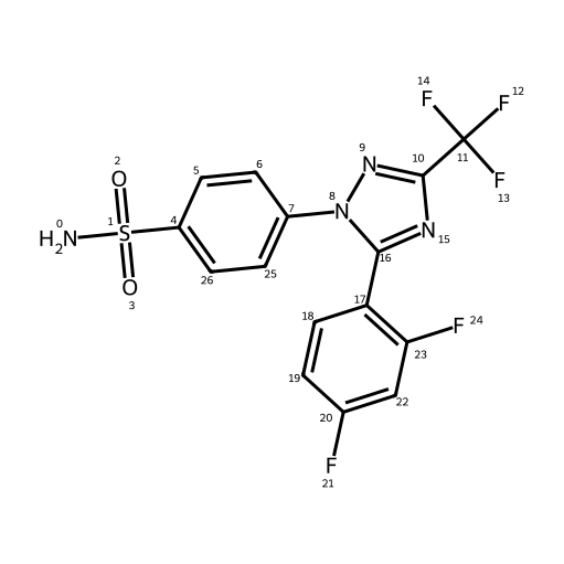 NS(=O)(=O)c1ccc(-n2nc(C(F)(F)F)nc2-c2ccc(F)cc2F)cc1